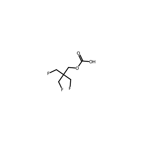 O=C(O)OCC(CF)(CF)CF